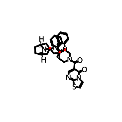 Cc1nc2ccccc2n1[C@H]1C[C@H]2CC[C@@H](C1)N2CCC1(c2ccccc2)CCN(C(=O)c2cnc3sccn3c2=O)CC1